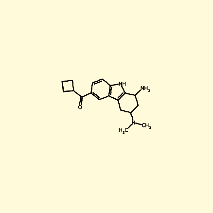 CN(C)C1Cc2c([nH]c3ccc(C(=O)C4CCC4)cc23)C(N)C1